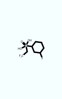 O=S(O)(O)(CC(F)(F)F)C1CCCC(F)C1